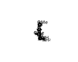 COCC1CN(CC2CCN(Cc3cccc(OC)c3)CC2)C(=O)N(c2cccc(C(=N)N)c2)C1